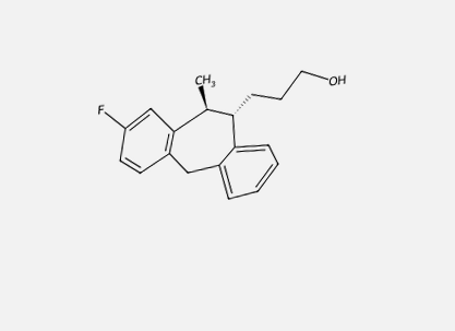 C[C@@H]1c2cc(F)ccc2Cc2ccccc2[C@H]1CCCO